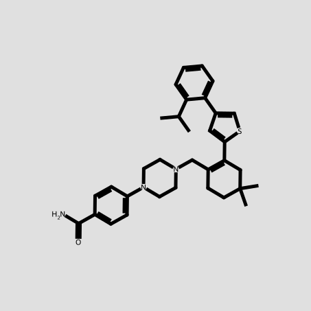 CC(C)c1ccccc1-c1csc(C2=C(CN3CCN(c4ccc(C(N)=O)cc4)CC3)CCC(C)(C)C2)c1